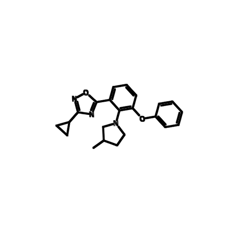 CC1CCN(c2c(Oc3ccccc3)cccc2-c2nc(C3CC3)no2)C1